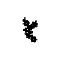 CC(C)C[C@H](C(=O)N1C(=O)OC[C@@H]1Cc1ccccc1)c1cc(OS(=O)(=O)C(F)(F)F)cc(-c2ccc(CF)cc2)c1